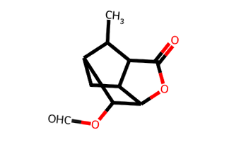 CC1C2CC3C(OC(=O)C13)C2OC=O